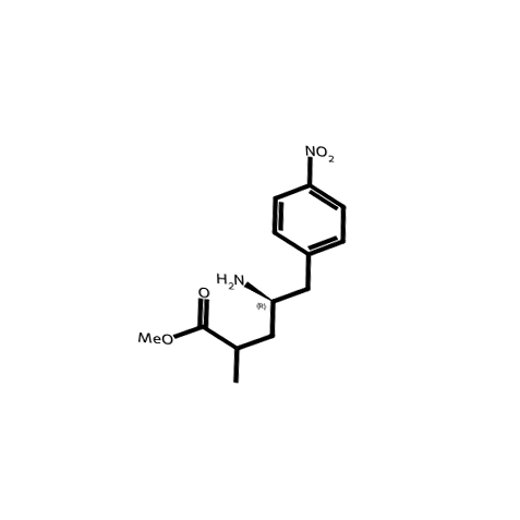 COC(=O)C(C)C[C@@H](N)Cc1ccc([N+](=O)[O-])cc1